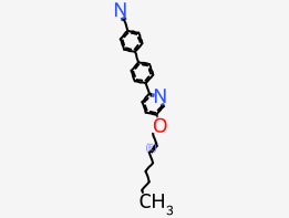 CCCCC/C=C/COc1ccc(-c2ccc(-c3ccc(C#N)cc3)cc2)nc1